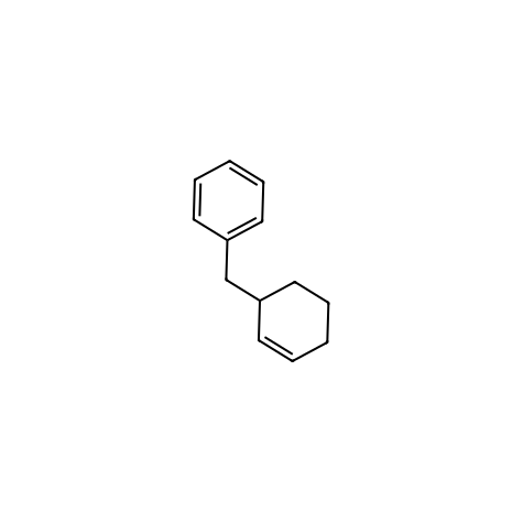 C1=CC(Cc2ccccc2)CCC1